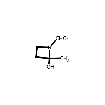 CC1(O)CCN1[C]=O